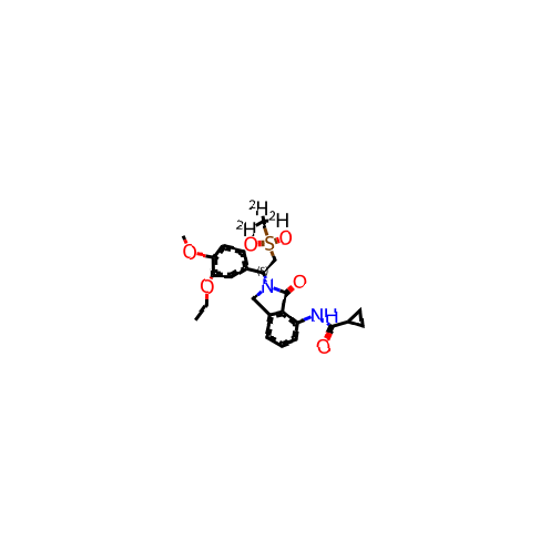 [2H]C([2H])([2H])S(=O)(=O)C[C@H](c1ccc(OC)c(OCC)c1)N1Cc2cccc(NC(=O)C3CC3)c2C1=O